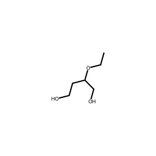 CCOC(CO)CCO